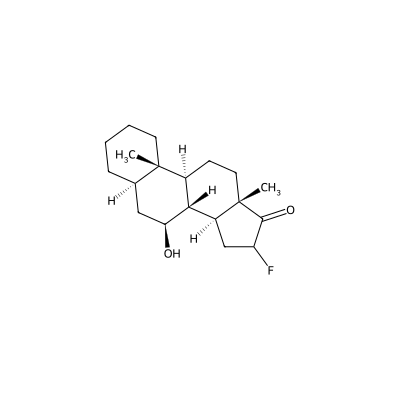 C[C@]12CCCC[C@@H]1C[C@H](O)[C@@H]1[C@@H]2CC[C@]2(C)C(=O)C(F)C[C@@H]12